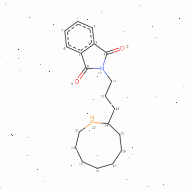 O=C1c2ccccc2C(=O)N1CCCC1CCCCCCCP1